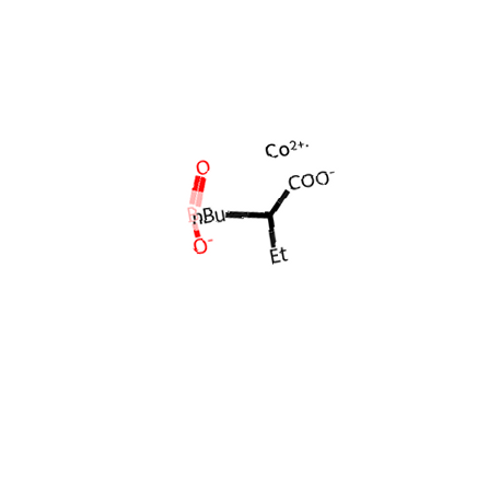 CCCCC(CC)C(=O)[O-].O=B[O-].[Co+2]